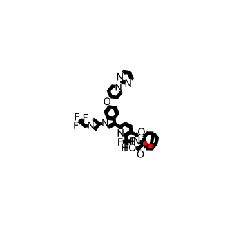 O=C(NC1(C(=O)O)C2CCC3CC(C2)CC1C3)c1ccc(-c2cn(C3CN(CC(F)(F)F)C3)c3cc(OC4CCN(c5ncccn5)CC4)ccc23)nc1C(F)(F)F